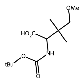 COCC(C)(C)C(NC(=O)OC(C)(C)C)C(=O)O